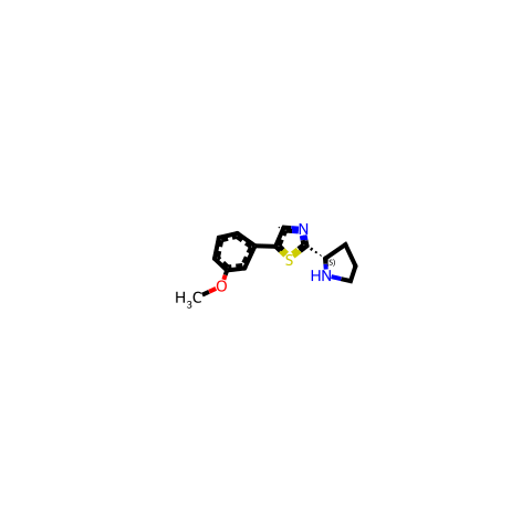 COc1cccc(-c2[c]nc([C@@H]3CCCN3)s2)c1